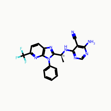 C[C@H](Nc1ncnc(N)c1C#N)c1nc2ccc(C(F)(F)F)nc2n1-c1ccccc1